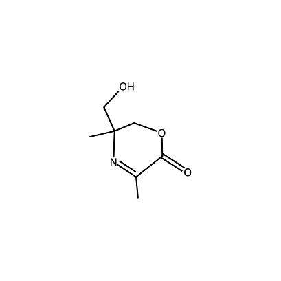 CC1=NC(C)(CO)COC1=O